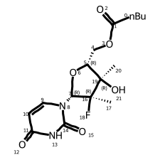 CCCCC(=O)OC[C@H]1O[C@@H](n2ccc(=O)[nH]c2=O)[C@](C)(F)[C@]1(C)O